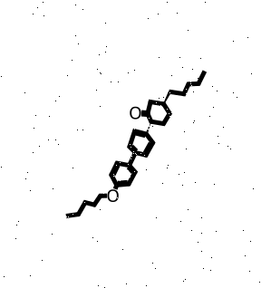 CCCCCOc1ccc(-c2ccc([C@H]3CC[C@H](CCCCC)CC3=O)cc2)cc1